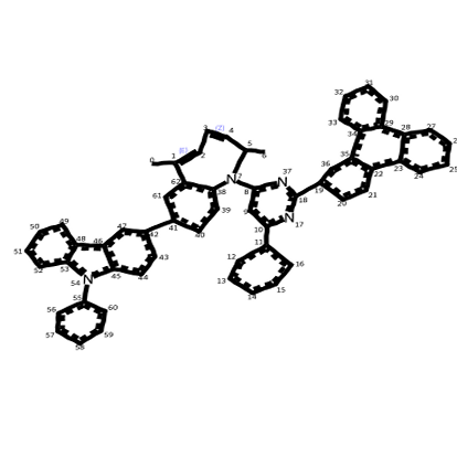 C/C1=C\C=C/C(C)N(c2cc(-c3ccccc3)nc(-c3ccc4c5ccccc5c5ccccc5c4c3)n2)c2ccc(-c3ccc4c(c3)c3ccccc3n4-c3ccccc3)cc21